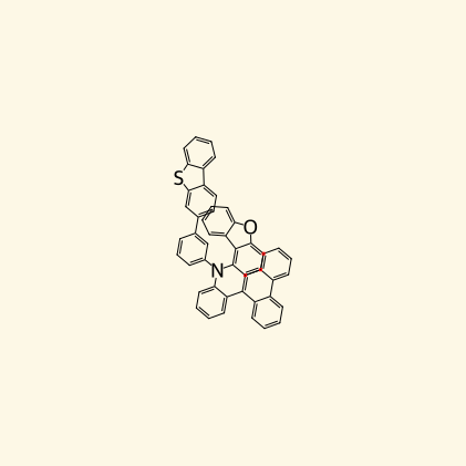 c1cc(-c2ccc3c(c2)sc2ccccc23)cc(N(c2ccccc2-c2cc3ccccc3c3ccccc23)c2cccc3oc4ccccc4c23)c1